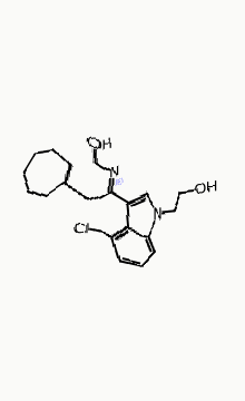 OCCn1cc(/C(CC2CCCCCC2)=N/CO)c2c(Cl)cccc21